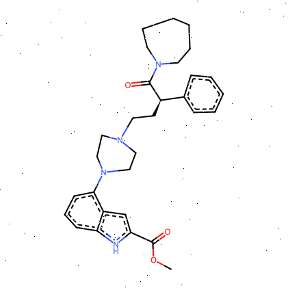 COC(=O)c1cc2c(N3CCN(CC[C@@H](C(=O)N4CCCCCC4)c4ccccc4)CC3)cccc2[nH]1